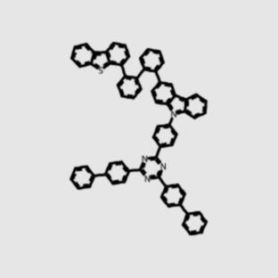 c1ccc(-c2ccc(-c3nc(-c4ccc(-c5ccccc5)cc4)nc(-c4ccc(-n5c6ccccc6c6cc(-c7ccccc7-c7ccccc7-c7cccc8c7sc7ccccc78)ccc65)cc4)n3)cc2)cc1